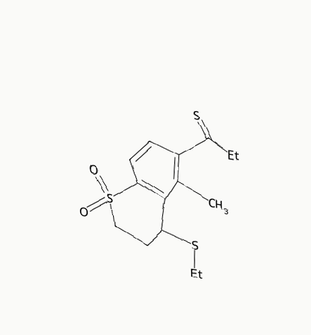 CCSC1CCS(=O)(=O)c2ccc(C(=S)CC)c(C)c21